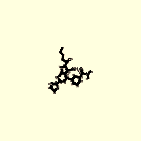 CCCCC(=O)c1sc2nc(-c3nccs3)cc(-c3cccc(C(=O)N(C)C)c3)c2c1N